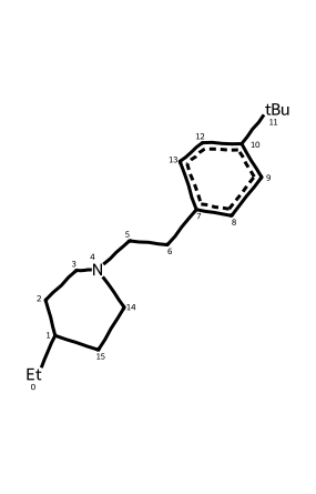 CCC1CCN(CCc2ccc(C(C)(C)C)cc2)CC1